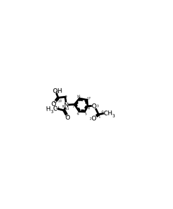 CC(=O)Oc1ccc(N(CC(=O)O)C(C)=O)cc1